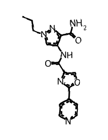 CCCn1cc(NC(=O)c2coc(-c3ccncc3)n2)c(C(N)=O)n1